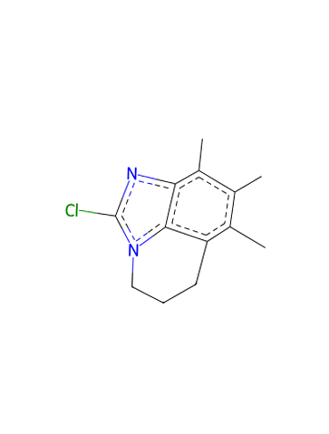 Cc1c(C)c2c3c(nc(Cl)n3CCC2)c1C